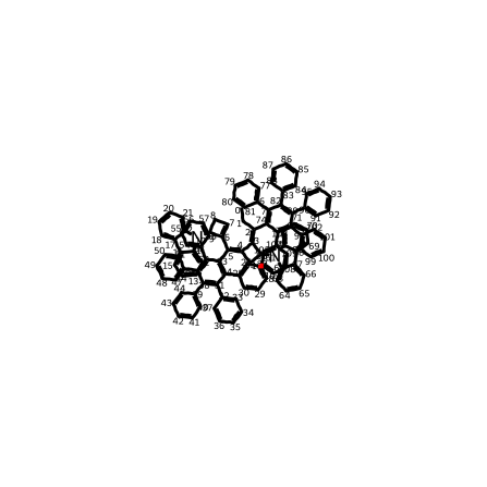 CC/C(=C1\C(=C(/C2=CC[C@H]2n2c3ccccc3c3ccccc32)c2c(-c3ccccc3)c(-c3ccccc3)c(-c3ccccc3)c(-c3ccccc3)c2-c2ccccc2)CC1n1c2ccccc2c2ccccc21)c1c(-c2ccccc2)c(-c2ccccc2)c(-c2ccccc2)c(-c2ccccc2)c1-c1ccccc1